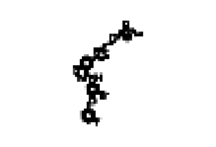 CCCS(=O)(=O)CCOCCc1nc(-c2ccc3ncnc(Nc4ccc(OCc5cccc(F)c5)c(Br)c4)c3c2)cs1